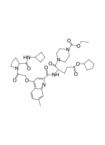 CCOC(=O)N1CCN(C(=O)C(CCC(=O)OC2CCCC2)NC(=O)c2cc(OCC(=O)N3CCCC3C(=O)NC3CCC3)c3ccc(C)cc3n2)CC1